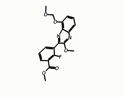 COCOc1cccc2nc(OC)c(-c3cccc(C(=O)OC)c3F)nc12